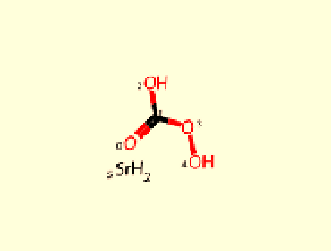 O=C(O)OO.[SrH2]